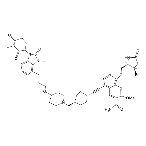 CC[C@@H]1CC(=O)N[C@@H]1COc1ncc(C#C[C@H]2CC[C@H](CN3CCC(OCCCc4cccc5c4n(C)c(=O)n5C4CCC(=O)N(C)C4=O)CC3)CC2)c2cc(C(N)=O)c(OC)cc12